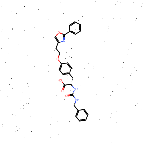 O=C(NCc1ccccc1)N[C@@H](Cc1ccc(OCCc2coc(-c3ccccc3)n2)cc1)C(=O)O